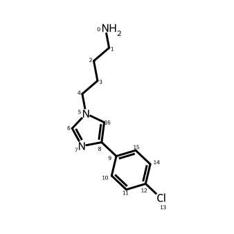 NCCCCn1cnc(-c2ccc(Cl)cc2)c1